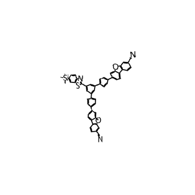 C[Si](C)(C)c1ccc2nc(-c3cc(-c4ccc(-c5ccc6c(c5)oc5cc(C#N)ccc56)cc4)cc(-c4ccc(-c5ccc6c(c5)oc5cc(C#N)ccc56)cc4)c3)sc2c1